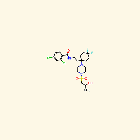 CC(O)CS(=O)(=O)N1CCN(C2(CCNC(=O)c3ccc(Cl)cc3Cl)CCC(F)(F)CC2)CC1